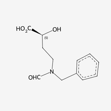 O=CN(CC[C@H](O)C(=O)O)Cc1ccccc1